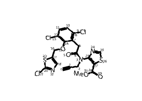 C#CCN(C(=O)Cc1c(Cl)ccc(Cl)c1OCc1cnc(Cl)s1)c1ncsc1C(=O)OC